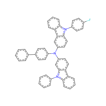 Fc1ccc(-n2c3ccccc3c3cc(N(c4ccc(-c5ccccc5)cc4)c4ccc5c6ccccc6n(-c6ccccc6)c5c4)ccc32)cc1